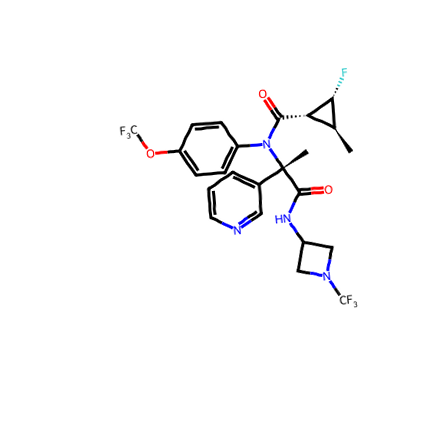 C[C@@H]1[C@@H](F)[C@H]1C(=O)N(c1ccc(OC(F)(F)F)cc1)[C@](C)(C(=O)NC1CN(C(F)(F)F)C1)c1cccnc1